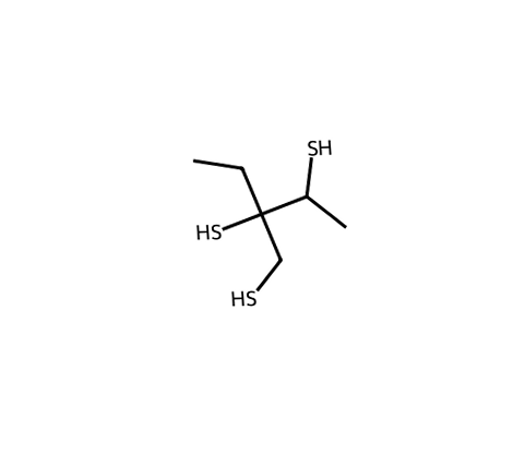 CCC(S)(CS)C(C)S